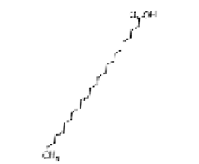 CCCC=CCC=CCC=CCC=CCCCCCCCCCC(=O)O